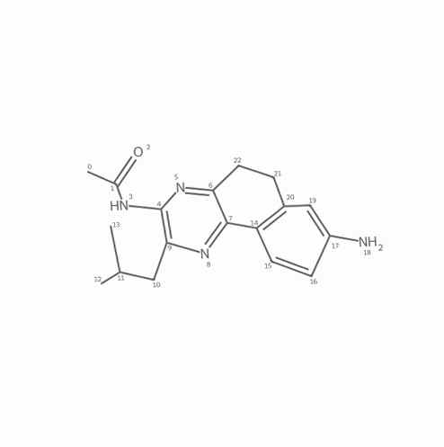 CC(=O)Nc1nc2c(nc1CC(C)C)-c1ccc(N)cc1CC2